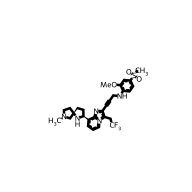 COc1cc(S(C)(=O)=O)ccc1NCC#Cc1nc2c([C@@H]3CC[C@@]4(CCN(C)C4)N3)cccn2c1CC(F)(F)F